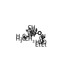 CCC(CC)NC(=O)c1cnc(-c2cccc(-c3cn(COCC[Si](C)(C)C)c(C(=O)NC(C)C4CC4)n3)c2)o1